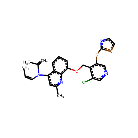 C=C(C)N(/C=C\C)c1cc(C)nc2c(OCc3c(Cl)cncc3Sc3nccs3)cccc12